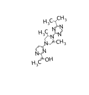 CC(C)c1ncnc(N2C(C)CN(c3ccnc([C@@H](C)O)n3)C[C@H]2C)n1